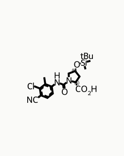 Cc1c(NC(=O)N2C[C@H](O[Si](C)(C)C(C)(C)C)C[C@H]2C(=O)O)ccc(C#N)c1Cl